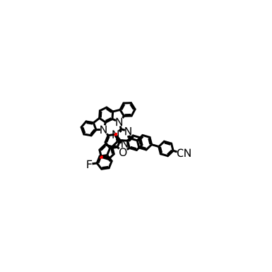 N#Cc1ccc(-c2ccc(-c3nc(-c4ccccc4)nc(-n4c5ccccc5c5ccc6c7ccccc7n(-c7cc(-c8cccc(F)c8)c8oc9ccccc9c8c7)c6c54)n3)cc2)cc1